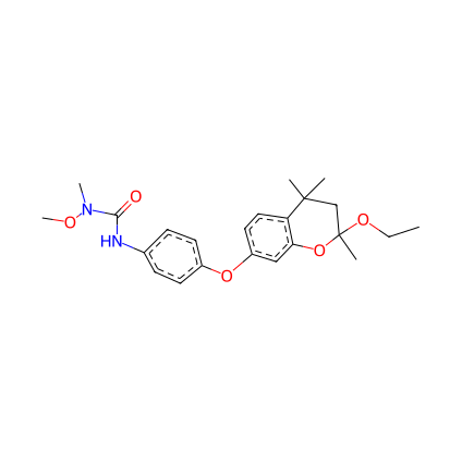 CCOC1(C)CC(C)(C)c2ccc(Oc3ccc(NC(=O)N(C)OC)cc3)cc2O1